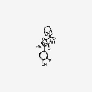 CC(C)(C)OC(=O)NC1CC2CCC(C1)N2C(=O)c1nc(-c2ccc(C#N)c(F)c2)co1